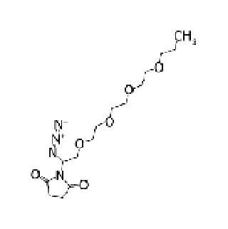 CCCOCCOCCOCCOCC(N=[N+]=[N-])N1C(=O)CCC1=O